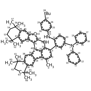 Cc1cc(-c2cc(N(c3ccccc3)c3ccccc3)ccc2Nc2ccc(C(C)(C)C)cc2)c2c3c1c1cc4c(cc1n3-c1c(oc3cc5c(cc13)C(C)(C)CCC5(C)C)B2)C(C)(C)CCC4(C)C